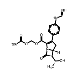 C[C@@H](O)[C@H]1C(=O)N2C(C(=O)OCOC(=O)C(C)(C)C)=C(c3ccc(NC=N)cc3)C[C@H]12